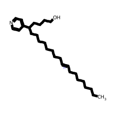 CCCCCCCC/C=C/CCCCCCCCC(CCCCO)c1ccncc1